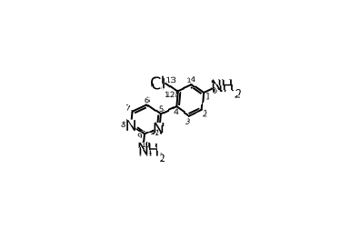 Nc1ccc(-c2ccnc(N)n2)c(Cl)c1